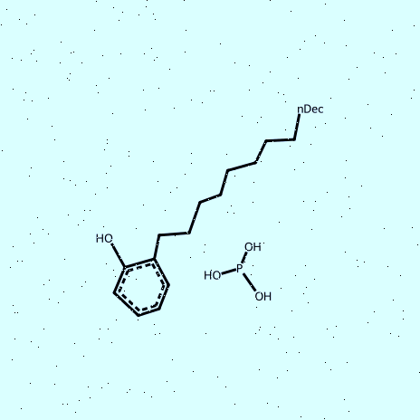 CCCCCCCCCCCCCCCCCCc1ccccc1O.OP(O)O